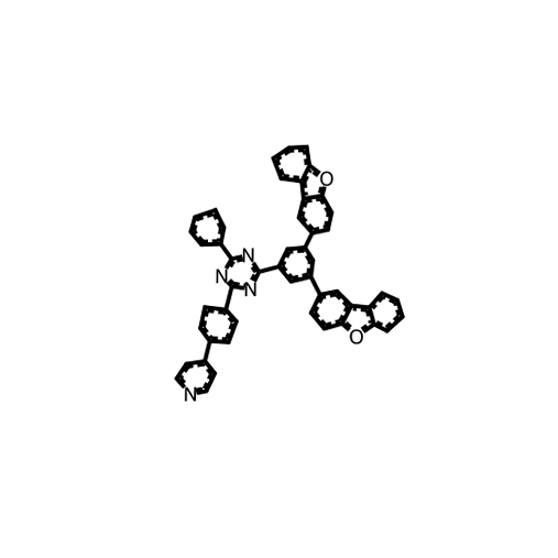 c1ccc(-c2nc(-c3ccc(-c4ccncc4)cc3)nc(-c3cc(-c4ccc5oc6ccccc6c5c4)cc(-c4ccc5oc6ccccc6c5c4)c3)n2)cc1